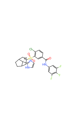 O=C(Nc1cc(F)c(F)c(F)c1)c1ccc(Cl)c(S(=O)(=O)[C@H]2CC3CCC(C2)[C@H]3c2ncc[nH]2)c1